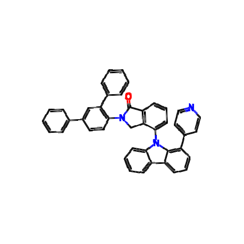 O=C1c2cccc(-n3c4ccccc4c4cccc(-c5ccncc5)c43)c2CN1c1ccc(-c2ccccc2)cc1-c1ccccc1